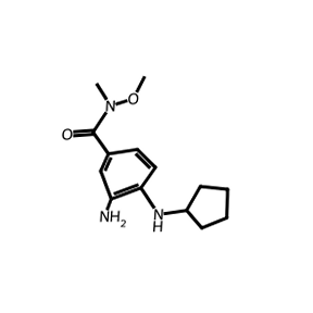 CON(C)C(=O)c1ccc(NC2CCCC2)c(N)c1